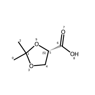 CC1(C)OC[C@@H](C(=O)O)O1